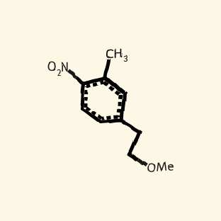 COCCc1ccc([N+](=O)[O-])c(C)c1